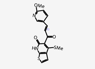 COc1ccc(/C=C/C(=O)c2c(SC)c3ccsc3[nH]c2=O)cn1